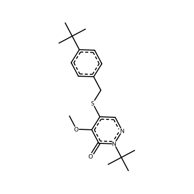 COc1c(SCc2ccc(C(C)(C)C)cc2)cnn(C(C)(C)C)c1=O